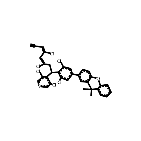 C#C/C=C(Cl)\C=C(\Cl)CC(c1c(Cl)cncc1Cl)c1c(Cl)cc(-c2ccc3c(c2)C(C)(C)c2ccccc2O3)cc1Cl